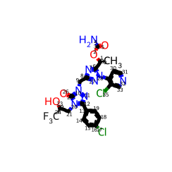 C[C@H](OC(N)=O)c1nc(Cn2nc(-c3ccc(Cl)cc3)n(C[C@H](O)C(F)(F)F)c2=O)nn1-c1ccncc1Cl